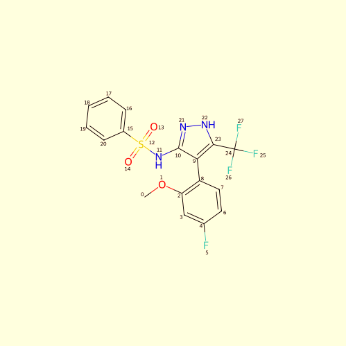 COc1cc(F)ccc1-c1c(NS(=O)(=O)c2ccccc2)n[nH]c1C(F)(F)F